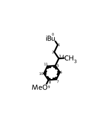 CCC(C)CCC(C)c1ccc(OC)cc1